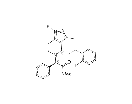 CCn1nc(C)c2c1CCN([C@@H](C(=O)NC)c1ccccc1)[C@H]2CCc1ccccc1F